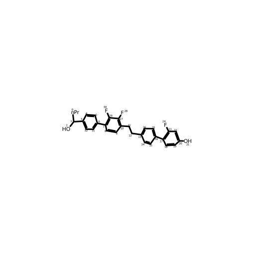 CCCC(O)c1ccc(-c2ccc(CCc3ccc(-c4ccc(O)cc4F)cc3)c(F)c2F)cc1